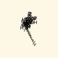 CCCCCCCCCCCCCCCCCCCCc1cccc2c1C(=O)N(O[C@@H]1[C@H](O)[C@@H](C(OP(N)O)C(c3ccccc3)(c3ccc(OC)cc3)c3ccc(OC)cc3)O[C@H]1n1cnc3c(N)ncnc31)C2=O